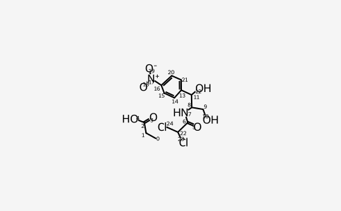 CCC(=O)O.O=C(NC(CO)C(O)c1ccc([N+](=O)[O-])cc1)C(Cl)Cl